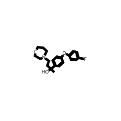 CC(O)(CCN1CCCCCC1)c1ccc(Oc2ccc(F)cc2)cc1